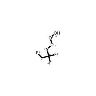 OOOSC(F)(F)CF